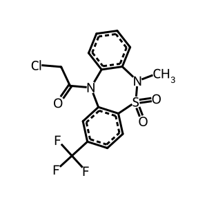 CN1c2ccccc2N(C(=O)CCl)c2cc(C(F)(F)F)ccc2S1(=O)=O